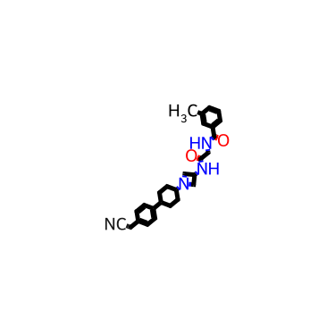 Cc1cccc(C(=O)NCC(=O)NC2CN(C3CCC(c4ccc(CC#N)cc4)CC3)C2)c1